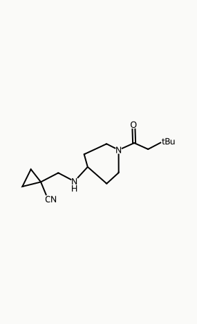 CC(C)(C)CC(=O)N1CCC(NCC2(C#N)CC2)CC1